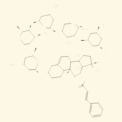 CC[C@H]1C[C@@H](O[C@H]2[C@H](C)O[C@@H](O[C@H]3[C@@H](OC)C[C@H](O[C@@H]4[C@H](C)O[C@@H](O[C@H]5[C@@H](OC)C[C@H](O[C@H]6CC[C@@]7(C)C(=CC[C@]8(O)[C@@H]7C[C@@H](OC(=O)/C=C/c7ccccc7)[C@@]7(C)[C@]8(O)CC[C@@]7(O)C(C)=O)C6)O[C@@H]5C)C[C@@H]4OC)O[C@@H]3C)C[C@H]2OC)[C@H](O)[C@@H](O)[C@@H]1O